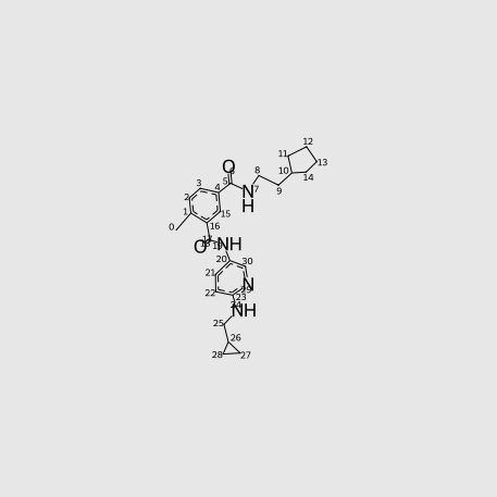 Cc1ccc(C(=O)NCCC2CCCC2)cc1C(=O)Nc1ccc(NCC2CC2)nc1